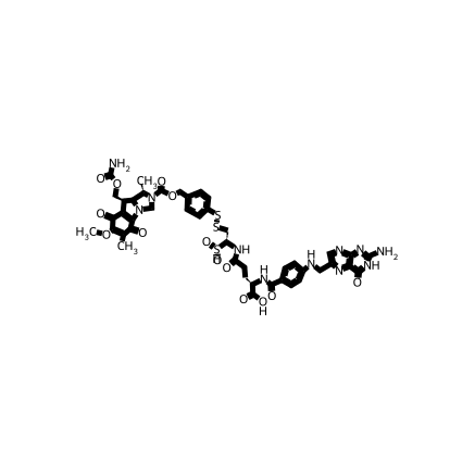 COC1=C(C)C(=O)C2=C(C1=O)[C@@H](COC(N)=O)C1[C@H](C)N(C(=O)OCc3ccc(SSC[C@H](NC(=O)CC[C@H](NC(=O)c4ccc(NCc5cnc6nc(N)[nH]c(=O)c6n5)cc4)C(=O)O)[SH](=O)=O)cc3)CN21